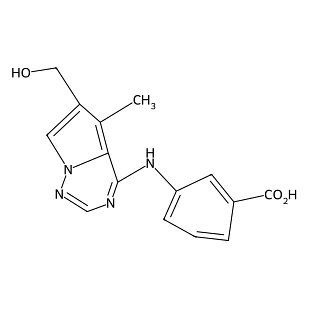 Cc1c(CO)cn2ncnc(Nc3cccc(C(=O)O)c3)c12